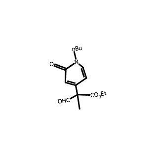 CCCCn1ccc(C(C)(C=O)C(=O)OCC)cc1=O